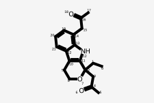 CCC1(CC(C)=O)OCCc2c1[nH]c1c(CC(C)=O)cccc21